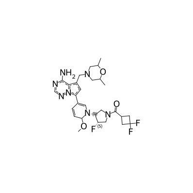 COC1C=CC(c2cc(CN3CC(C)OC(C)C3)c3c(N)ncnn23)=CN1[C@@H]1CN(C(=O)C2CC(F)(F)C2)C[C@@H]1F